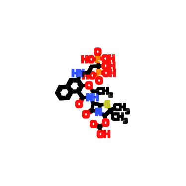 CCOc1c(NCCC(O)(P(=O)(O)O)P(=O)(O)O)cc2ccccc2c1C(=O)NC1C(=O)N2C1SC(C)(C)C2OC(=O)O